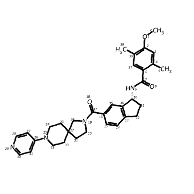 COc1cc(C)c(C(=O)N[C@@H]2CCc3ccc(C(=O)N4CCC5(CCN(c6ccncc6)CC5)C4)cc32)cc1C